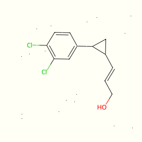 OCC=CC1CC1c1ccc(Cl)c(Cl)c1